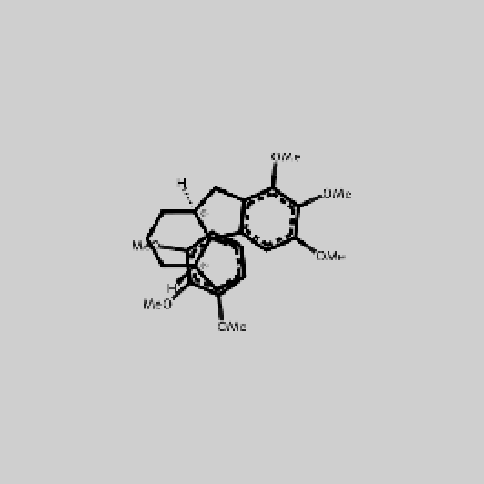 COc1cc2c(c(OC)c1OC)C[C@@H]1CCC[C@H]3Cc4c(cc(OC)c(OC)c4OC)C213